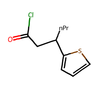 CCCC(CC(=O)Cl)c1cccs1